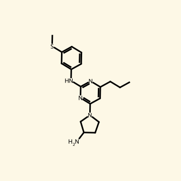 CCCc1cc(N2CCC(N)C2)nc(Nc2cccc(SC)c2)n1